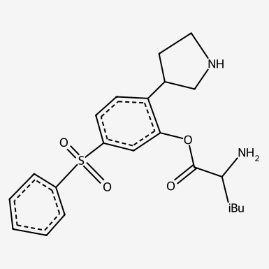 CCC(C)C(N)C(=O)Oc1cc(S(=O)(=O)c2ccccc2)ccc1C1CCNC1